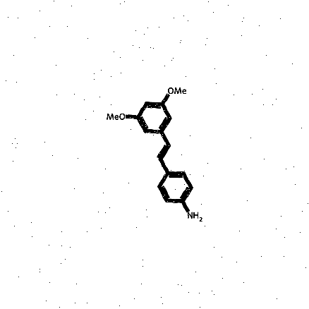 COc1cc(C=Cc2ccc(N)cc2)cc(OC)c1